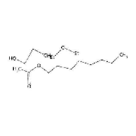 CCCCCCCCOC(C)=O.CCOCC.OCCO